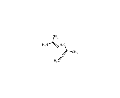 C=C=C(C)C.NC(N)=O